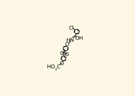 O=C(O)COc1ccc(S(=O)(=O)c2ccc(OCCNC[C@@H](O)c3cccc(Cl)c3)cc2)cc1